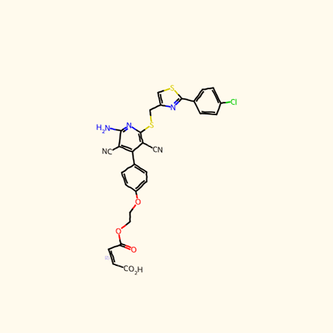 N#Cc1c(N)nc(SCc2csc(-c3ccc(Cl)cc3)n2)c(C#N)c1-c1ccc(OCCOC(=O)/C=C\C(=O)O)cc1